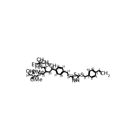 C=Cc1ccc(CSc2nnc(SCc3ccc(C(C)CC(CSC[Si](CO)(OC)OC)C(=O)NC(C)(C)CC)cc3)s2)cc1